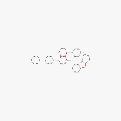 c1ccc(-c2ccc(-c3ccc(N(c4ccccc4-c4ccccc4)c4cccc5oc6cccnc6c45)cc3)cc2)cc1